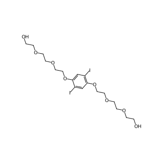 OCCOCCOCCOc1cc(I)c(OCCOCCOCCO)cc1I